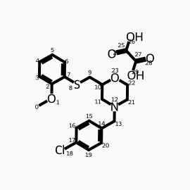 COc1ccccc1SCC1CN(Cc2ccc(Cl)cc2)CCO1.O=C(O)C(=O)O